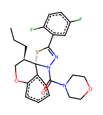 CCC[C@@H]1COc2ccccc2[C@@]12SC(c1cc(F)ccc1F)=NN2C(=O)N1CCOCC1